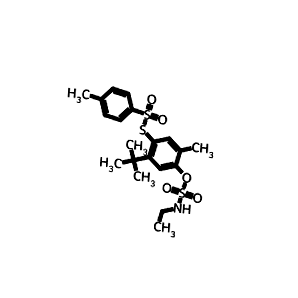 CCNS(=O)(=O)Oc1cc(C(C)(C)C)c(SS(=O)(=O)c2ccc(C)cc2)cc1C